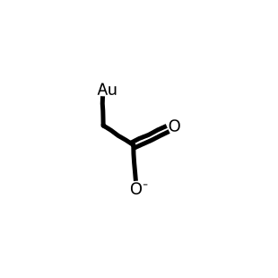 O=C([O-])[CH2][Au]